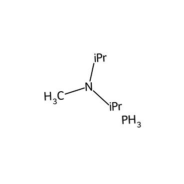 CC(C)N(C)C(C)C.P